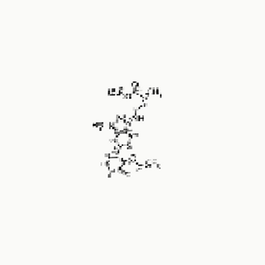 CN(CCNc1nn(C)c2cc(-c3cccc(F)c3OCC(F)(F)F)ccc12)C(=O)OC(C)(C)C